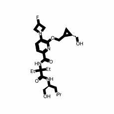 CCC(CC)(NC(=O)c1ccc(N2CC(F)C2)c(OCC2C[C@@H]2CO)n1)C(=O)N[C@H](CO)CC(C)C